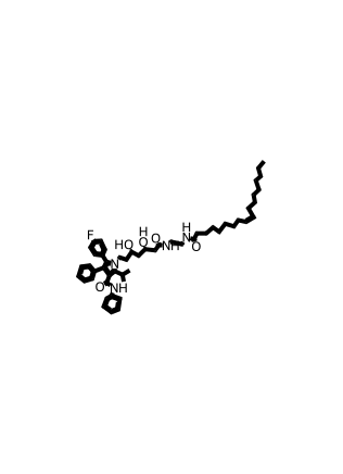 CCCCCCCC/C=C\CCCCCCCC(=O)NCCNC(=O)C[C@H](O)C[C@H](O)CCn1c(-c2ccc(F)cc2)c(-c2ccccc2)c(C(=O)Nc2ccccc2)c1C(C)C